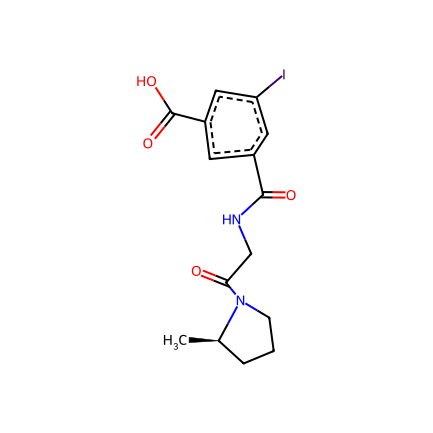 C[C@@H]1CCCN1C(=O)CNC(=O)c1cc(I)cc(C(=O)O)c1